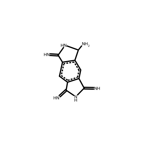 N=C1NC(=N)c2cc3c(cc21)C(=N)NC3N